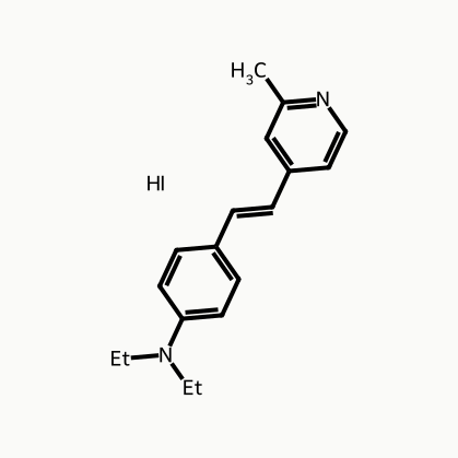 CCN(CC)c1ccc(C=Cc2ccnc(C)c2)cc1.I